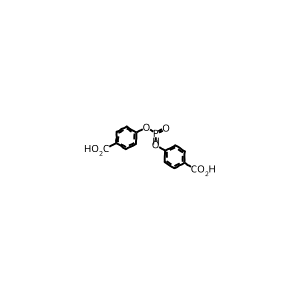 O=C(O)c1ccc(O[PH](=O)Oc2ccc(C(=O)O)cc2)cc1